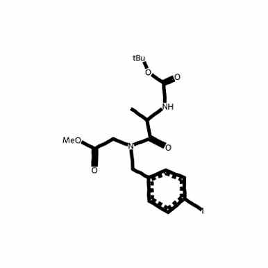 COC(=O)CN(Cc1ccc(I)cc1)C(=O)C(C)NC(=O)OC(C)(C)C